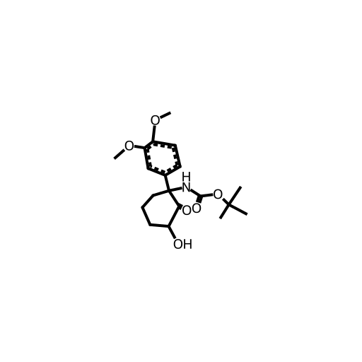 COc1ccc(C2(NC(=O)OC(C)(C)C)CCCC(O)C2=O)cc1OC